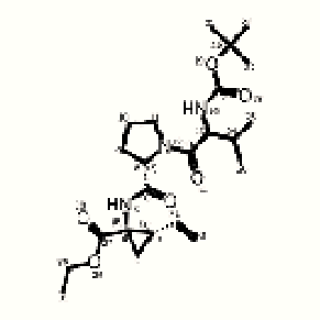 C=C[C@@H]1C[C@]1(NC(=O)[C@@H]1CCCN1C(=O)C(NC(=O)OC(C)(C)C)C(C)C)C(=O)OCC